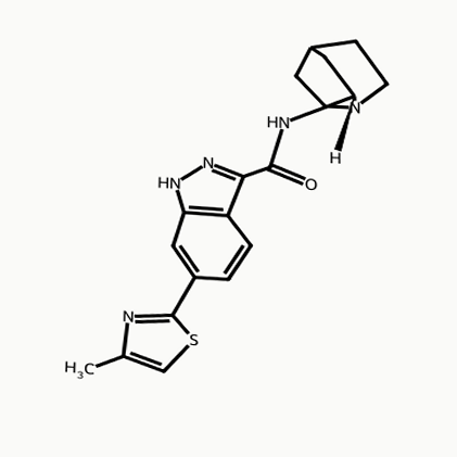 Cc1csc(-c2ccc3c(C(=O)N[C@@H]4CC5CCN4CC5)n[nH]c3c2)n1